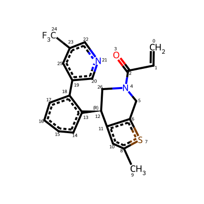 C=CC(=O)N1Cc2sc(C)cc2[C@@H](c2ccccc2-c2cncc(C(F)(F)F)c2)C1